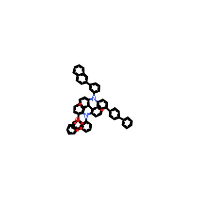 c1ccc(-c2ccc(-c3ccc(N(c4cccc(-c5ccc6ccccc6c5)c4)c4ccccc4-c4ccccc4N(c4ccccc4-c4ccccc4)c4cccc5c4oc4ccccc45)cc3)cc2)cc1